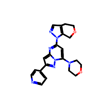 c1cc(-c2cc3nc(-n4ncc5c4COCC5)cc(N4CCOCC4)n3n2)ccn1